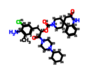 Cc1cc(C[C@@H](OC(=O)N2CCC3(CC2)CC(=O)Nc2ccccc23)C(=O)N2CCN(C3CCCCC3)CC2)cc(Cl)c1N